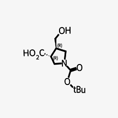 CC(C)(C)OC(=O)N1C[C@H](CO)[C@@H](C(=O)O)C1